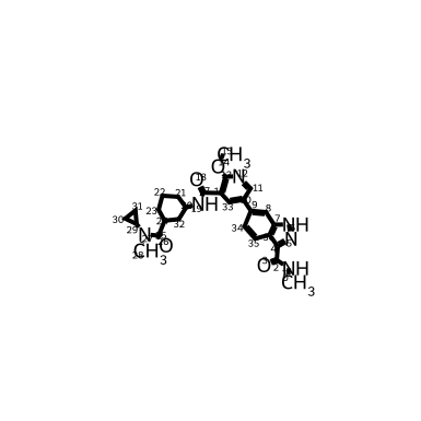 CNC(=O)c1n[nH]c2cc(-c3cnc(OC)c(C(=O)NC4CCCC(C(=O)N(C)C5CC5)C4)c3)ccc12